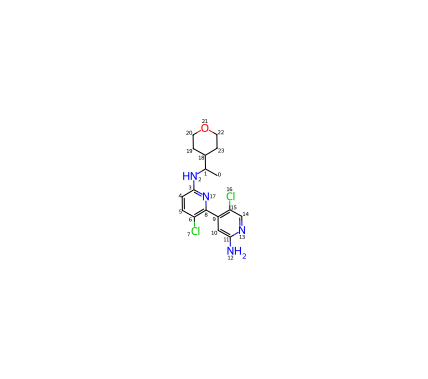 CC(Nc1ccc(Cl)c(-c2cc(N)ncc2Cl)n1)C1CCOCC1